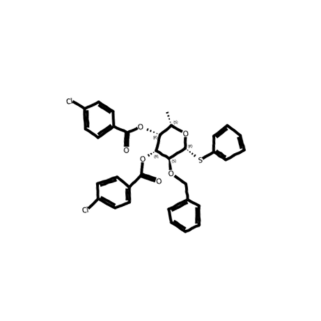 C[C@@H]1O[C@H](Sc2ccccc2)[C@@H](OCc2ccccc2)[C@H](OC(=O)c2ccc(Cl)cc2)[C@@H]1OC(=O)c1ccc(Cl)cc1